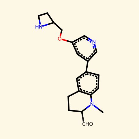 CN1c2ccc(-c3cncc(OCC4CCN4)c3)cc2CCC1C=O